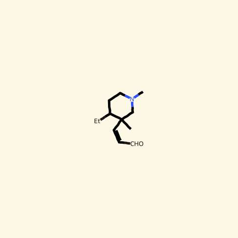 CCC1CCN(C)CC1(C)/C=C\C=O